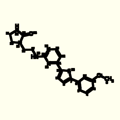 COc1cccc(-c2ccc(-c3ccnc(NCCN4CCNC4=O)n3)s2)c1